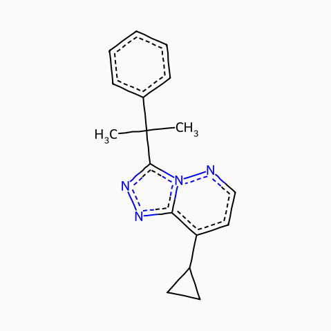 CC(C)(c1ccccc1)c1nnc2c(C3CC3)ccnn12